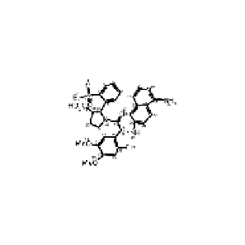 CCS(=O)(=O)c1ccccc1C1C(C(=O)O)CCN1C(=O)[C@H](Nc1ccc2c(N)nccc2c1)c1cc(OC)c(OC)cc1F